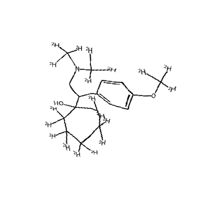 [2H]C([2H])([2H])Oc1ccc(C(CN(C([2H])([2H])[2H])C([2H])([2H])[2H])C2(O)C([2H])([2H])C([2H])([2H])C([2H])([2H])C([2H])([2H])C2([2H])[2H])cc1